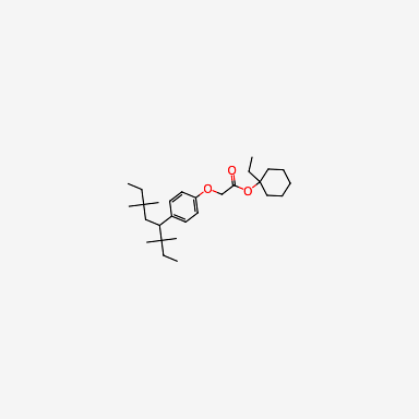 CCC(C)(C)CC(c1ccc(OCC(=O)OC2(CC)CCCCC2)cc1)C(C)(C)CC